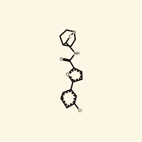 O=C(NC1CN2CCC1CC2)c1ccc(-c2cccc(Cl)c2)o1